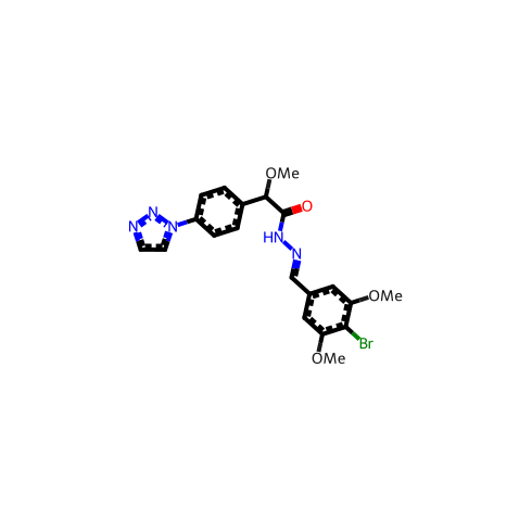 COc1cc(/C=N/NC(=O)C(OC)c2ccc(-n3ccnn3)cc2)cc(OC)c1Br